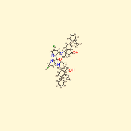 O=C(c1ncc(F)cc1N1CC[C@@]2(C[C@H](O)c3cc(-c4ccccc4C4CC4)ccc32)C1)c1ncc(F)cc1N1CC[C@@]2(C[C@H](O)c3cc(-c4ccccc4C4CC4)ccc32)C1